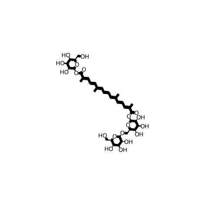 CC(/C=C/C=C(\C)C(=O)O[C@@H]1O[C@H](CO)[C@@H](O)[C@H](O)[C@H]1O)=C\C=C\C=C(C)\C=C\C=C(/C)C(=O)O[C@@H]1O[C@H](CO[C@@H]2O[C@H](CO)[C@@H](O)[C@H](O)[C@H]2O)[C@@H](O)[C@H](O)[C@H]1O